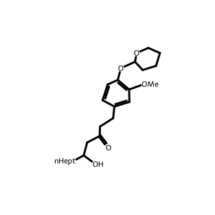 CCCCCCCC(O)CC(=O)CCc1ccc(OC2CCCCO2)c(OC)c1